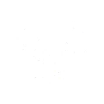 C[C@@H](CCc1nc2cc(Cl)ncc2c(=O)[nH]1)Oc1c([C@@H](C)NC(=O)OC(C)(C)C)cccc1C(F)(F)F